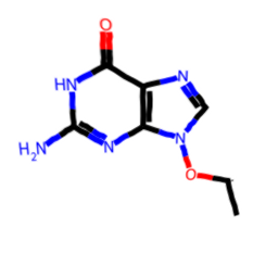 C[CH]On1cnc2c(=O)[nH]c(N)nc21